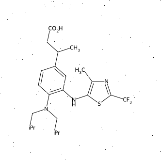 Cc1nc(C(F)(F)F)sc1Nc1cc(C(C)CC(=O)O)ccc1N(CC(C)C)CC(C)C